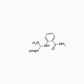 CCCCCCCC(N)Nc1ccccc1C(N)=O